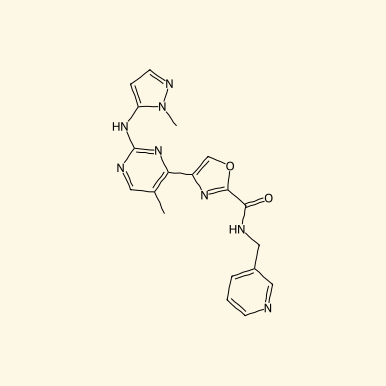 Cc1cnc(Nc2ccnn2C)nc1-c1coc(C(=O)NCc2cccnc2)n1